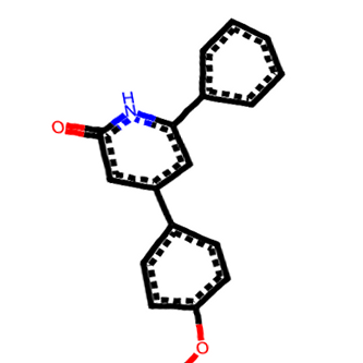 COc1ccc(-c2cc(-c3ccccc3)[nH]c(=O)c2)cc1